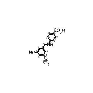 N#Cc1cc(CNc2ncc(C(=O)O)cn2)cc(OC(F)(F)F)c1